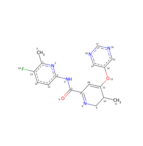 Cc1nc(NC(=O)C2=NCC(C)C(Oc3cncnc3)=C2)ccc1F